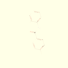 O=C(Nc1ccccc1C(=O)O)c1ccc(Cl)cc1Cl